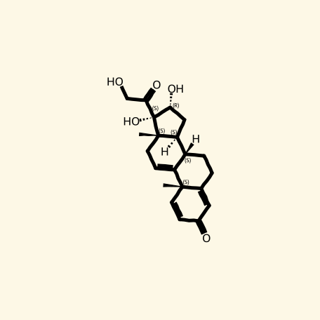 C[C@]12C=CC(=O)C=C1CC[C@@H]1C2=CC[C@@]2(C)[C@H]1C[C@@H](O)[C@]2(O)C(=O)CO